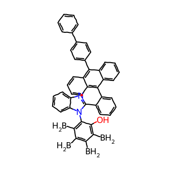 Bc1c(B)c(B)c(-n2c(-c3ccccc3-c3c4ccccc4c(-c4ccc(-c5ccccc5)cc4)c4ccccc34)nc3ccccc32)c(O)c1B